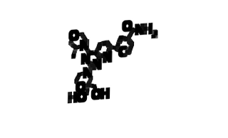 C[C@H]1COCCN1c1nc(N2CCOC(CO)(CO)C2)nc2nc(-c3cccc(C(N)=O)c3)ccc12